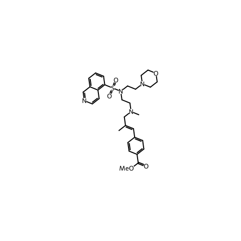 COC(=O)c1ccc(C=C(C)CN(C)CCN(CCN2CCOCC2)S(=O)(=O)c2cccc3cnccc23)cc1